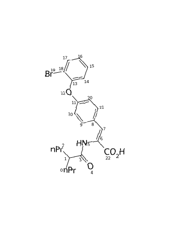 CCCC(CCC)C(=O)NC(=Cc1ccc(Oc2ccccc2Br)cc1)C(=O)O